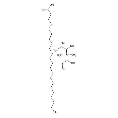 CCC(N)[N+](C)(C)C(O)CC.CCCCCCCCCCCCCCCCCCCCCC(=O)O.Cl